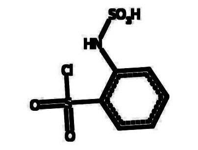 O=S(=O)(O)Nc1ccccc1S(=O)(=O)Cl